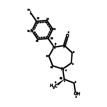 C[C@@H](CO)N1CCC(=O)N(c2ccc(I)nc2)CC1